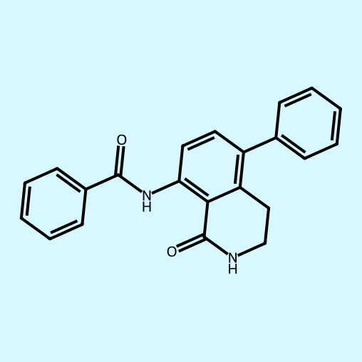 O=C(Nc1ccc(-c2ccccc2)c2c1C(=O)NCC2)c1ccccc1